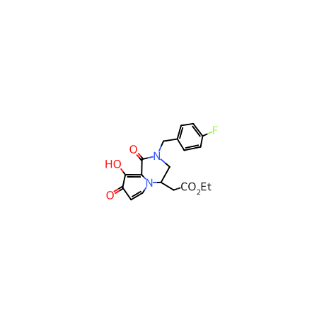 CCOC(=O)CC1CN(Cc2ccc(F)cc2)C(=O)c2c(O)c(=O)ccn21